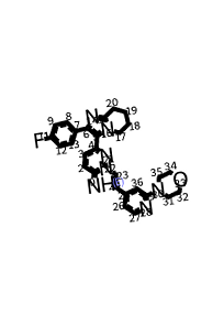 N=c1ccc(-c2c(-c3ccc(F)cc3)nc3n2CCCC3)nn1/C=C/c1ccnc(N2CCOCC2)c1